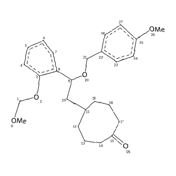 COCOc1ccccc1C(CC1CCCC(=O)CCC1)OCc1ccc(OC)cc1